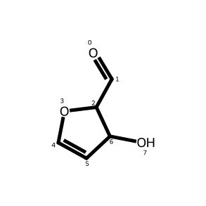 O=CC1OC=CC1O